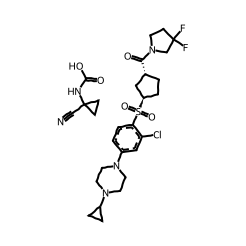 N#CC1(NC(=O)O)CC1.O=C([C@@H]1CC[C@@H](S(=O)(=O)c2ccc(N3CCN(C4CC4)CC3)cc2Cl)C1)N1CCC(F)(F)C1